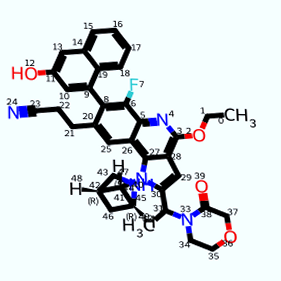 CCOc1nc2c(F)c(-c3cc(O)cc4ccccc34)c(CCC#N)cc2c2c1cc(C(C)N1CCOCC1=O)n2[C@H]1[C@H]2CN[C@@H]1C2